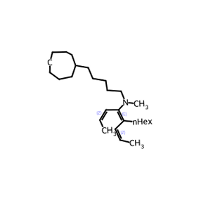 C\C=C/C(CCCCCC)=C(\C=C/C)N(C)CCCCCC1CCCCCCC1